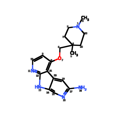 CN1CCC(C)(COc2ccnc3[nH]c4cnc(N)cc4c23)CC1